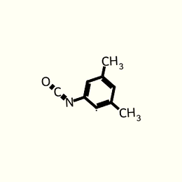 Cc1[c]c(N=C=O)cc(C)c1